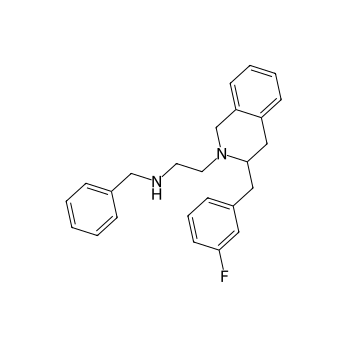 Fc1cccc(CC2Cc3ccccc3CN2CCNCc2ccccc2)c1